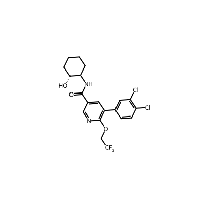 O=C(NC1CCCC[C@H]1O)c1cnc(OCC(F)(F)F)c(-c2ccc(Cl)c(Cl)c2)c1